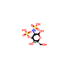 O=S(=O)(O)N[C@H]1C(O)O[C@H](CO)[C@@H](O)[C@@H]1OS(=O)(=O)O